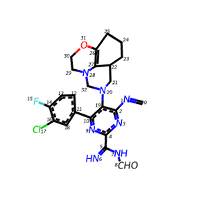 C=Nc1nc(C(=N)NC=O)nc(-c2ccc(F)c(Cl)c2)c1N1CC2CCCC3=C2N(CCO3)C1